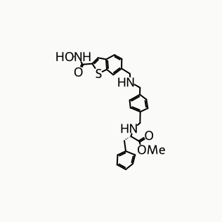 COC(=O)[C@H](Cc1ccccc1)NCc1ccc(CNCc2ccc3cc(C(=O)NO)sc3c2)cc1